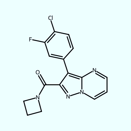 O=C(c1nn2cccnc2c1-c1ccc(Cl)c(F)c1)N1CCC1